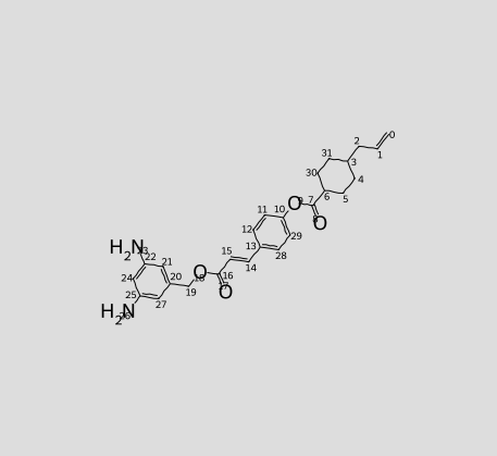 C=CCC1CCC(C(=O)Oc2ccc(/C=C/C(=O)OCc3cc(N)cc(N)c3)cc2)CC1